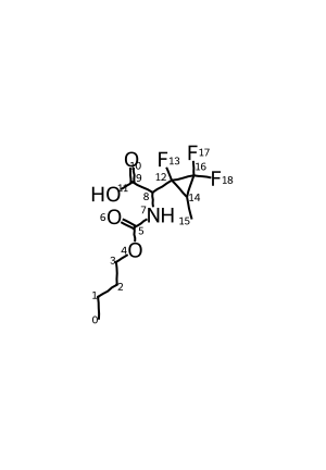 CCCCOC(=O)NC(C(=O)O)C1(F)C(C)C1(F)F